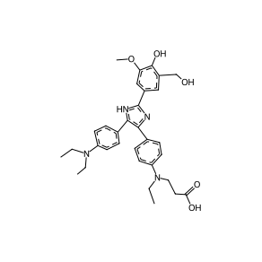 CCN(CC)c1ccc(-c2[nH]c(-c3cc(CO)c(O)c(OC)c3)nc2-c2ccc(N(CC)CCC(=O)O)cc2)cc1